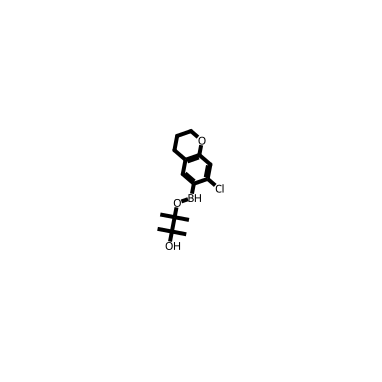 CC(C)(O)C(C)(C)OBc1cc2c(cc1Cl)OCCC2